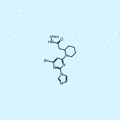 CCCCCCNC(=O)CC1CCCCN1c1cc(C(C)C)nc(-n2ccnc2)n1